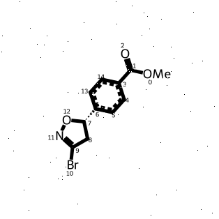 COC(=O)c1ccc([C@@H]2CC(Br)=NO2)cc1